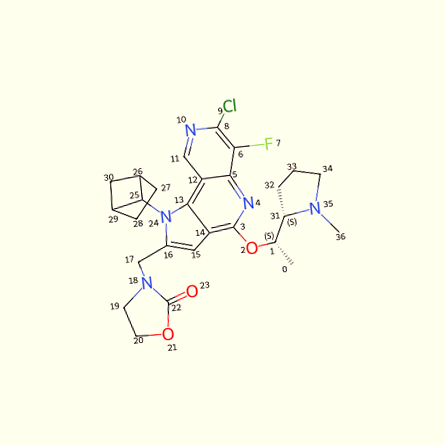 C[C@H](Oc1nc2c(F)c(Cl)ncc2c2c1cc(CN1CCOC1=O)n2C1C2CCC1C2)[C@@H]1CCCN1C